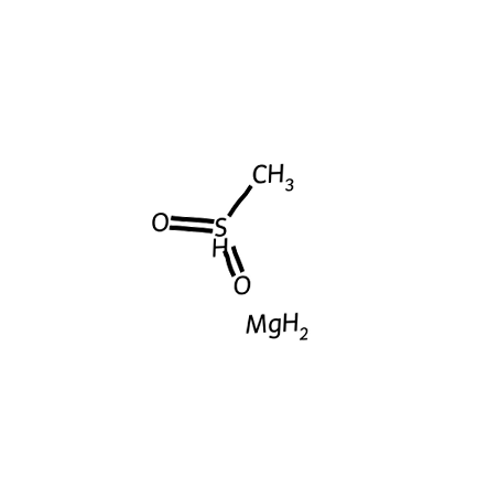 C[SH](=O)=O.[MgH2]